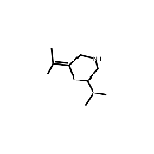 CC(C)=C1CNCC(C(C)C)C1